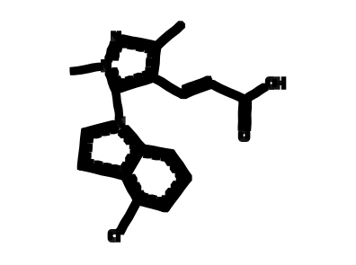 Cc1nn(C)c(-n2ccc3c(Cl)cccc32)c1C=CC(=O)O